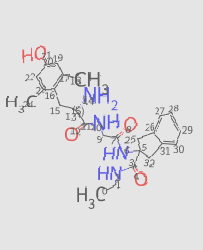 CCNC(=O)C1(NC(=O)CNC(=O)[C@@H](N)Cc2c(C)cc(O)cc2C)Cc2ccccc2C1